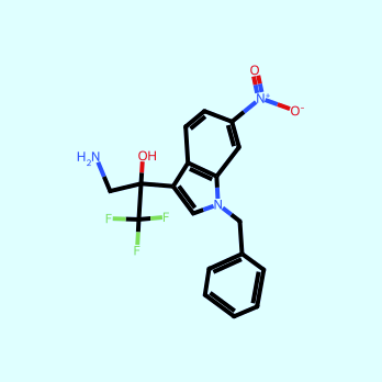 NCC(O)(c1cn(Cc2ccccc2)c2cc([N+](=O)[O-])ccc12)C(F)(F)F